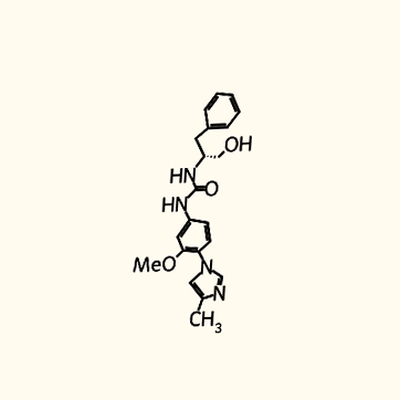 COc1cc(NC(=O)N[C@@H](CO)Cc2ccccc2)ccc1-n1cnc(C)c1